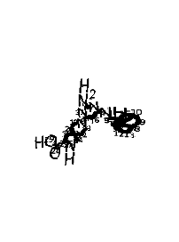 Nc1nc(NCC23CC4CC(CC(C4)C2)C3)cc(N2CCC3(CC2)CN[C@H](C(=O)O)C3)n1